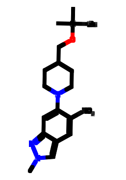 Cn1cc2cc([N+](=O)[O-])c(N3CCC(CO[Si](C)(C)C(C)(C)C)CC3)cc2n1